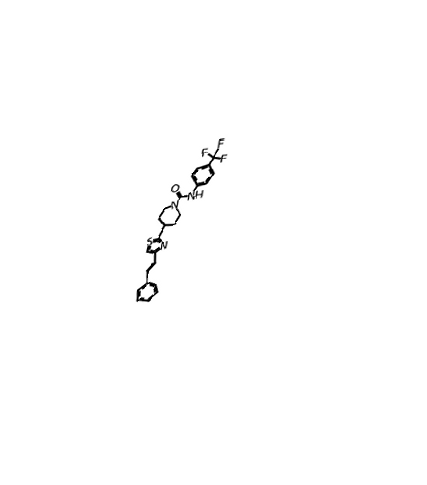 O=C(Nc1ccc(C(F)(F)F)cc1)N1CCC(c2nc(/C=C/c3ccccc3)cs2)CC1